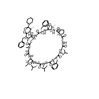 CC[C@H](C)[C@@H]1NC(=O)[C@@H](C)N(C)C(=O)C[C@@H](C(=O)N(C)[C@@H](Cc2ccccc2)C(=O)N[C@@H](C)C(=O)N2CCCCC2)NC(=O)[C@H](Cc2ccccc2)NC(=O)[C@H]([C@@H](C)O)NC(=O)[C@@H]2CCCN2C(=O)CNC(=O)[C@H](CC(C)C)N(C)C(=O)[C@H](Cc2ccccc2)N(C)C(=O)[C@H](CC(C)C)N(C)C(=O)[C@H](CC(C)C)NC1=O